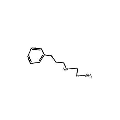 NCCNC[CH]Cc1ccccc1